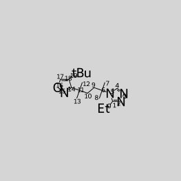 CCc1nncn1C(C)(C)CCC(C)(C)c1nocc1C(C)(C)C